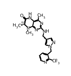 Cc1nc(NCc2cnn(Cc3cccnc3C(F)(F)F)c2)nc2c1NC(=O)[C@H](C)N2C